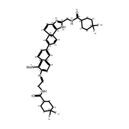 CNc1c(/N=C/CNC(=O)C2CCC(F)(F)CC2)ccc2cc(-c3ccc4c(ccc5nc(CNC(=O)C6CCC(F)(F)CC6)[nH]c54)c3)ccc12